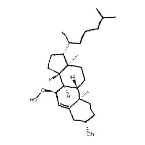 CC(C)CCCC(C)[C@H]1CC[C@H]2[C@@H]3[C@H](OO)C=C4C[C@@H](O)CC[C@]4(C)[C@H]3CC[C@]12C